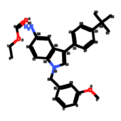 CCOC=O.COc1cccc(Cn2cc(-c3ccc(C(C)(C)C)cc3)c3cc(N)ccc32)c1